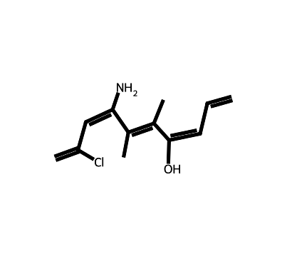 C=C\C=C(O)/C(C)=C(C)/C(N)=C\C(=C)Cl